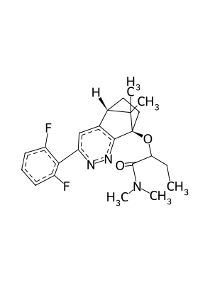 CCC(O[C@@]12CC[C@@H](c3cc(-c4c(F)cccc4F)nnc31)C2(C)C)C(=O)N(C)C